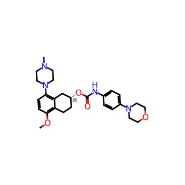 COc1ccc(N2CCN(C)CC2)c2c1CC[C@@H](OC(=O)Nc1ccc(N3CCOCC3)cc1)C2